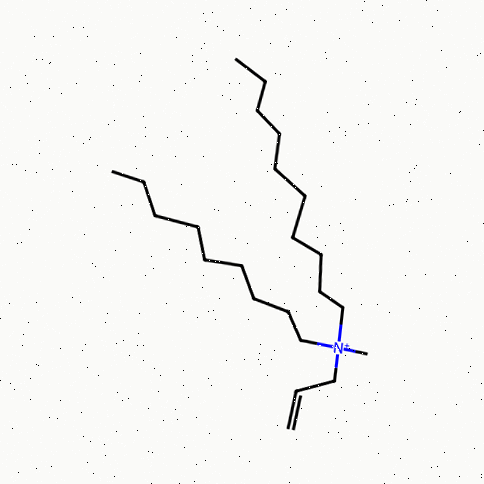 C=CC[N+](C)(CCCCCCCCC)CCCCCCCCCC